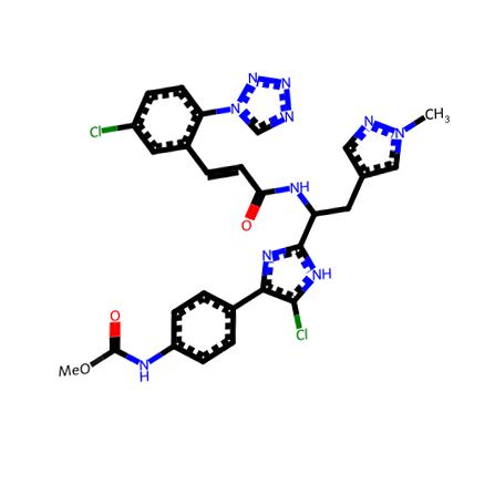 COC(=O)Nc1ccc(-c2nc(C(Cc3cnn(C)c3)NC(=O)C=Cc3cc(Cl)ccc3-n3cnnn3)[nH]c2Cl)cc1